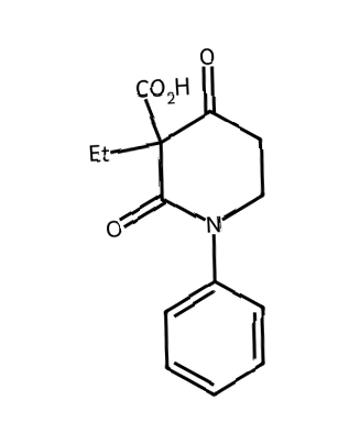 CCC1(C(=O)O)C(=O)CCN(c2ccccc2)C1=O